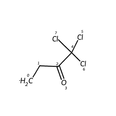 [CH2]CC(=O)C(Cl)(Cl)Cl